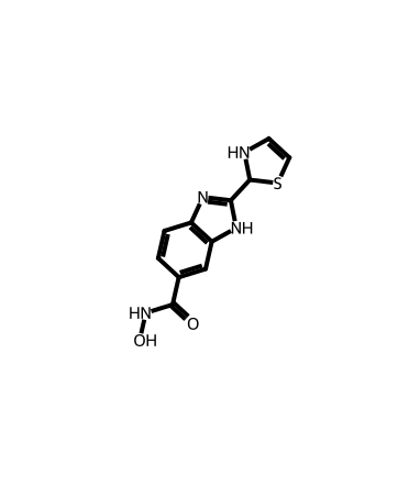 O=C(NO)c1ccc2nc(C3NC=CS3)[nH]c2c1